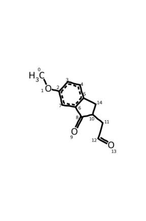 COc1ccc2c(c1)C(=O)C(CC=O)C2